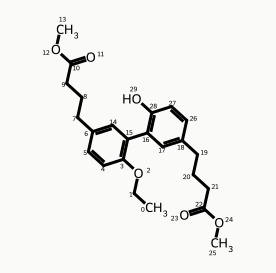 CCOc1ccc(CCCC(=O)OC)cc1-c1cc(CCCC(=O)OC)ccc1O